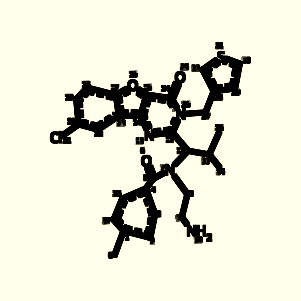 Cc1ccc(C(=O)N(CCN)C(c2nc3c(oc4ccc(Cl)cc43)c(=O)n2Cc2ccsc2)C(C)C)cc1